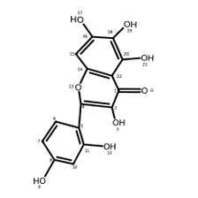 O=c1c(O)c(-c2ccc(O)cc2O)oc2cc(O)c(O)c(O)c12